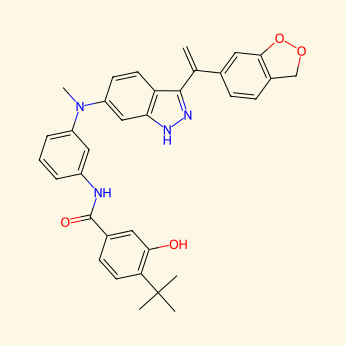 C=C(c1ccc2c(c1)OOC2)c1n[nH]c2cc(N(C)c3cccc(NC(=O)c4ccc(C(C)(C)C)c(O)c4)c3)ccc12